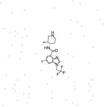 C[C@H]1CNCC[C@@H]1NC(=O)c1cc(I)cc2c1ncn2CC(F)(F)F